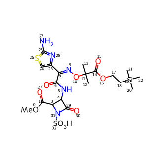 COC(=O)C1C(NC(=O)C(=NOC(C)(C)C(=O)OCC[Si](C)(C)C)c2csc(N)n2)C(=O)N1S(=O)(=O)O